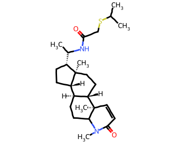 CC(C)SCC(=O)NC(C)[C@H]1CC[C@H]2[C@@H]3CCC4N(C)C(=O)C=C[C@]4(C)[C@H]3CC[C@]12C